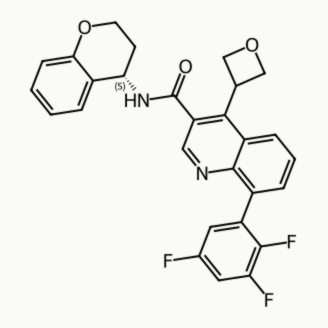 O=C(N[C@H]1CCOc2ccccc21)c1cnc2c(-c3cc(F)cc(F)c3F)cccc2c1C1COC1